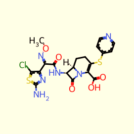 CO/N=C(\C(=O)N[C@@H]1C(=O)N2C(C(=O)O)=C(Sc3ccncc3)CC[C@H]12)c1nc(N)sc1Cl